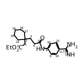 CCOC(=O)CC1(CCC(=O)Nc2ccc(C(=N)N)cc2)CCCCC1